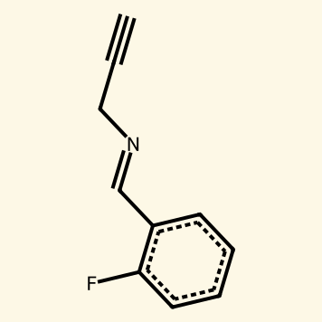 C#CCN=Cc1ccccc1F